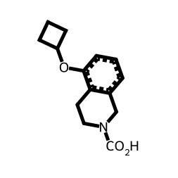 O=C(O)N1CCc2c(cccc2OC2CCC2)C1